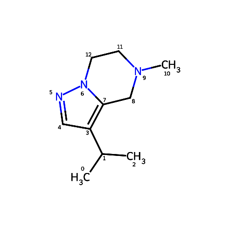 CC(C)c1cnn2c1CN(C)CC2